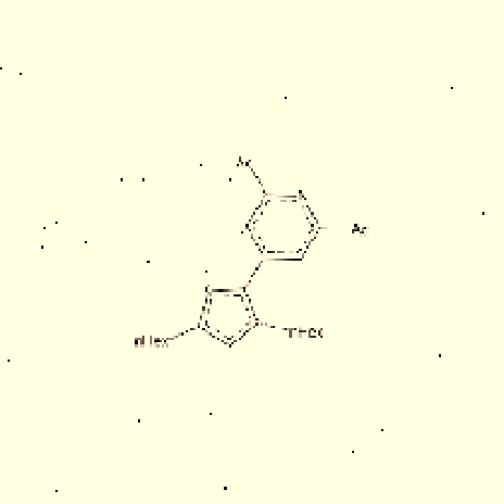 CCCCCCc1cc(CCCCCC)c(-c2cc(C(C)=O)nc(C(C)=O)c2)s1